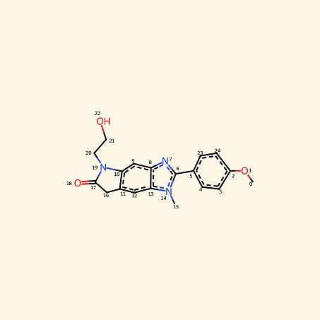 COc1ccc(-c2nc3cc4c(cc3n2C)CC(=O)N4CCO)cc1